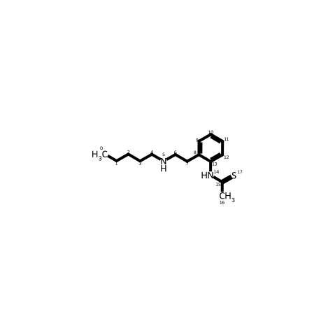 CCCCCNCCc1ccccc1NC(C)=S